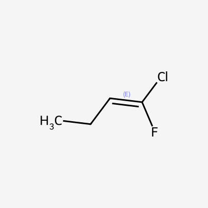 CC/C=C(\F)Cl